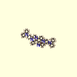 C1=Cc2c3n(c4ccc(-n5c6ccccc6c6ccccc65)cc24)-c2ccccc2C2=C(c4cnccc4-c4ccccc4-n4c5ccccc5c5cc(-n6c7ccccc7c7ccccc76)ccc54)C=NC23C1